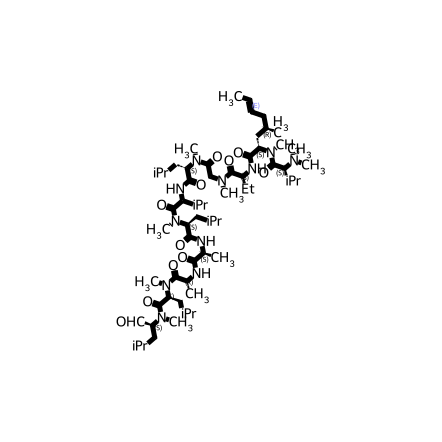 C/C=C/C[C@@H](C)C[C@@H](C(=O)N[C@@H](CC)C(=O)N(C)CC(=O)N(C)[C@@H](CC(C)C)C(=O)NC(C(=O)N(C)[C@@H](CC(C)C)C(=O)N[C@@H](C)C(=O)N[C@H](C)C(=O)N(C)[C@@H](CC(C)C)C(=O)N(C)[C@H](C=O)CC(C)C)C(C)C)N(C)C(=O)[C@H](C(C)C)N(C)C